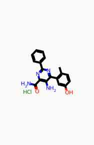 Cc1ccc(O)cc1-c1nc(-c2ccccc2)nc(C(N)=O)c1N.Cl